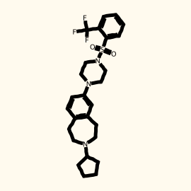 O=S(=O)(c1ccccc1C(F)(F)F)N1CCN(c2ccc3c(c2)CCN(C2CCCC2)CC3)CC1